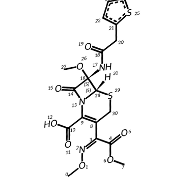 CON=C(C(=O)OC)C1=C(C(=O)O)N2C(=O)[C@](NC(=O)Cc3cccs3)(OC)[C@@H]2SC1